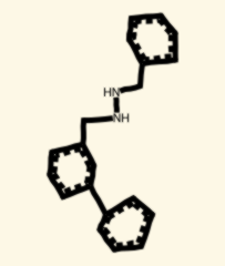 c1ccc(CNNCc2cccc(-c3ccccc3)c2)cc1